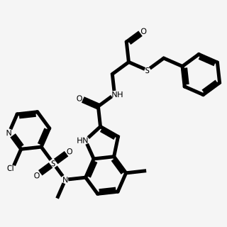 Cc1ccc(N(C)S(=O)(=O)c2cccnc2Cl)c2[nH]c(C(=O)NCC(C=O)SCc3ccccc3)cc12